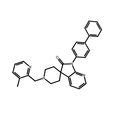 Cc1cccnc1CN1CCC2(CC1)C(=O)N(c1ccc(-c3ccccc3)cc1)c1ncccc12